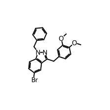 COc1ccc(Cc2nn(Cc3ccccc3)c3ccc(Br)cc23)cc1OC